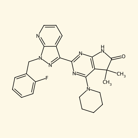 CC1(C)C(=O)Nc2nc(-c3nn(Cc4ccccc4F)c4ncccc34)nc(N3CCCCC3)c21